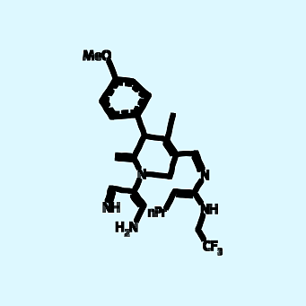 C=C1C(c2ccc(OC)cc2)C(C)=C(/C=N\C(=C\CCC)NCC(F)(F)F)CN1/C(C=N)=C/N